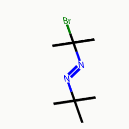 CC(C)(C)/N=N/C(C)(C)Br